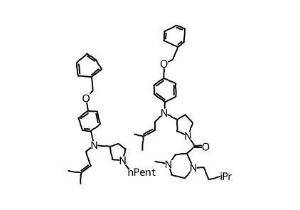 CC(C)=CCN(c1ccc(OCc2ccccc2)cc1)C1CCN(C(=O)C2CN(C)CCN2CCC(C)C)C1.CCCCCN1CCC(N(CC=C(C)C)c2ccc(OCc3ccccc3)cc2)C1